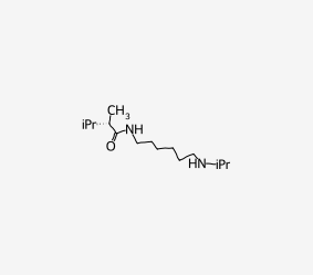 CC(C)NCCCCCCNC(=O)[C@@H](C)C(C)C